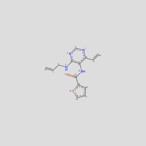 C=CCNc1ncnc(C=C)c1NC(=O)c1cccs1